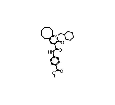 COC(=O)c1ccc(NC(=O)c2cc3c(n(CC4CCCCC4)c2=O)CCCCCC3)cc1